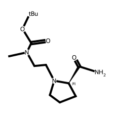 CN(CCN1CCC[C@@H]1C(N)=O)C(=O)OC(C)(C)C